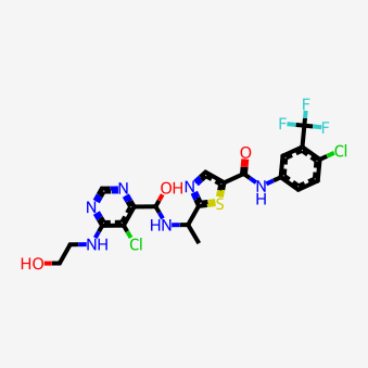 CC(NC(O)c1ncnc(NCCO)c1Cl)c1ncc(C(=O)Nc2ccc(Cl)c(C(F)(F)F)c2)s1